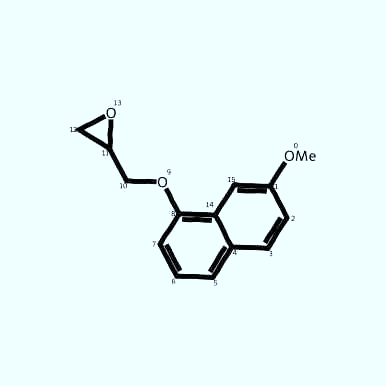 COc1ccc2cccc(OCC3CO3)c2c1